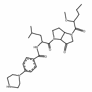 CCCC(OC)C(=O)N1CC(=O)C2C1CCN2C(=O)C(CC(C)C)NC(=O)c1ccc(N2CCNCC2)cc1